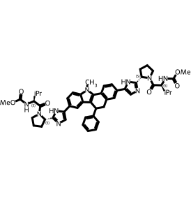 COC(=O)N[C@H](C(=O)N1CCC[C@H]1c1ncc(-c2ccc3c(c2)CC(c2ccccc2)c2c-3n(C)c3ccc(-c4cnc([C@@H]5CCCN5C(=O)[C@@H](NC(=O)OC)C(C)C)[nH]4)cc23)[nH]1)C(C)C